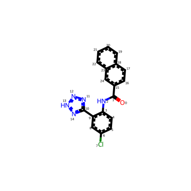 O=C(Nc1ccc(Cl)cc1-c1nn[nH]n1)c1ccc2ccccc2c1